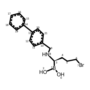 OB(O)[C@H](CCCBr)NCc1ccc(-c2ccccc2)cc1